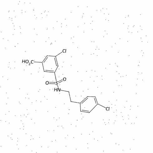 O=C(O)c1cc(Cl)cc(S(=O)(=O)NCCc2ccc(Cl)cc2)c1